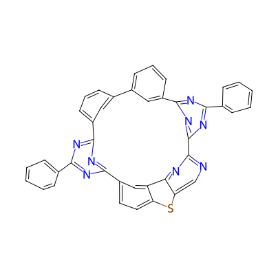 c1ccc(-c2nc3nc(n2)c2ccc4sc5cnc(nc5c4c2)c2nc(-c4ccccc4)nc(n2)c2cccc(c2)c2cccc3c2)cc1